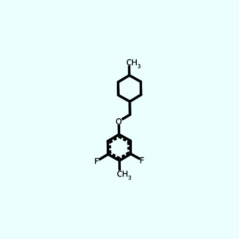 Cc1c(F)cc(OCC2CCC(C)CC2)cc1F